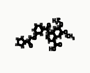 COc1cc2c(C(=O)O)cnc(C(=O)c3cccc(OCC(=O)N4CCCC4)c3)c2cc1OC